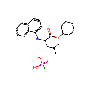 CC(C)C[C@H](Nc1cccc2ccccc12)C(=O)OC1CCCCC1.O=P(O)(O)Cl